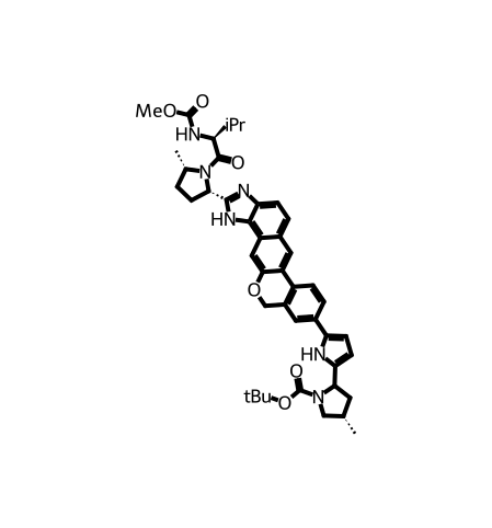 COC(=O)N[C@H](C(=O)N1[C@@H](C)CC[C@H]1c1nc2ccc3cc4c(cc3c2[nH]1)OCc1cc(-c2ccc(C3C[C@H](C)CN3C(=O)OC(C)(C)C)[nH]2)ccc1-4)C(C)C